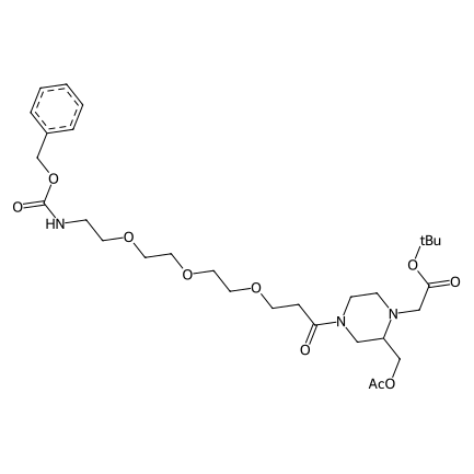 CC(=O)OCC1CN(C(=O)CCOCCOCCOCCNC(=O)OCc2ccccc2)CCN1CC(=O)OC(C)(C)C